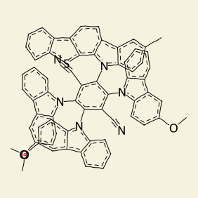 COc1ccc2c(c1)c1ccccc1n2-c1c(C#N)c(-n2c3ccccc3c3cc(OC)ccc32)c(-n2c3ccc(C)cc3c3ccc4c5ccccc5sc4c32)c(C#N)c1-n1c2ccccc2c2cc(OC)ccc21